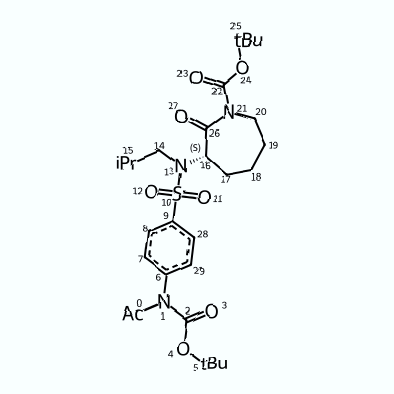 CC(=O)N(C(=O)OC(C)(C)C)c1ccc(S(=O)(=O)N(CC(C)C)[C@H]2CCCCN(C(=O)OC(C)(C)C)C2=O)cc1